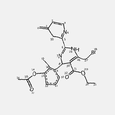 C=C1C=CN=C(C2=NC(c3cccc(OC(C)=O)c3C)C(C(=O)OCC)=C(CBr)N2)C1